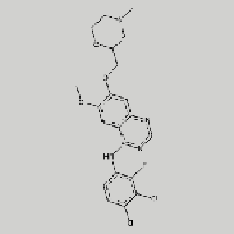 COc1cc2c(Nc3ccc(Cl)c(Cl)c3F)ncnc2cc1OCC1CN(C)CCO1